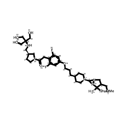 CCCCCC1(C)C(COC)CN2C(N3CCC(CCCOc4cc(F)c(CC(=O)N5CC[C@@H](CNC(CO)(CO)CO)C5)c(F)c4)CC3)N21